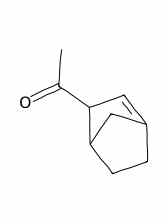 CC(=O)C1C=C2CCC1C2